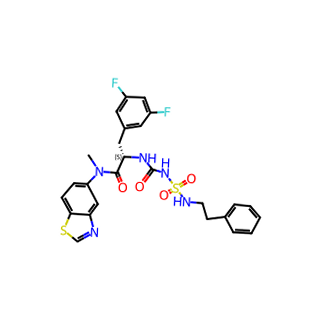 CN(C(=O)[C@H](Cc1cc(F)cc(F)c1)NC(=O)NS(=O)(=O)NCCc1ccccc1)c1ccc2scnc2c1